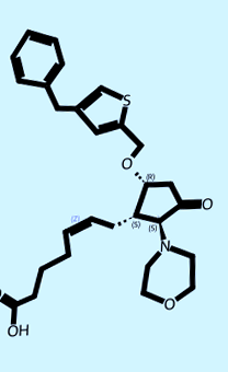 O=C(O)CCC/C=C\C[C@H]1[C@H](N2CCOCC2)C(=O)C[C@H]1OCc1cc(Cc2ccccc2)cs1